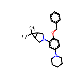 CC1(C)C2CN(c3cc(N4CCCCC4)ccc3OCc3ccccc3)CC21